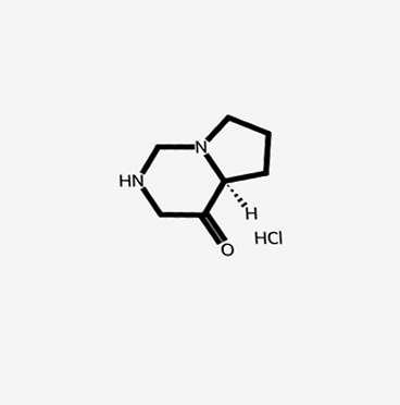 Cl.O=C1CNCN2CCC[C@@H]12